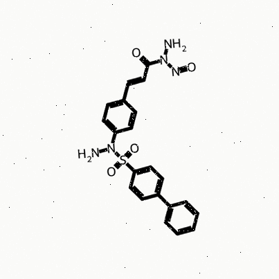 NN(N=O)C(=O)/C=C/c1ccc(N(N)S(=O)(=O)c2ccc(-c3ccccc3)cc2)cc1